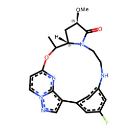 CO[C@@H]1C[C@H]2C(C)Oc3ccn4ncc(c4n3)-c3cc(F)cc(c3)NCCN2C1=O